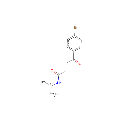 CC(C)[C@H](NC(=O)CCC(=O)c1ccc(Br)cc1)C(=O)O